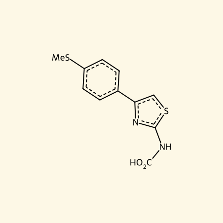 CSc1ccc(-c2csc(NC(=O)O)n2)cc1